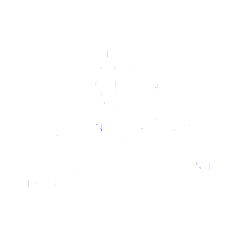 COc1ccc(Cn2ccc3cc(OC4CCC(N)CC4)c(Br)cc3c2=O)cc1.O=C(O)C(F)(F)F